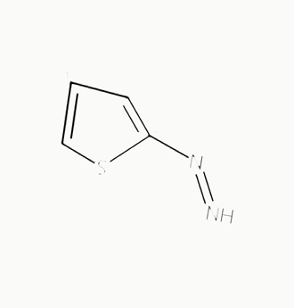 N=Nc1cccs1